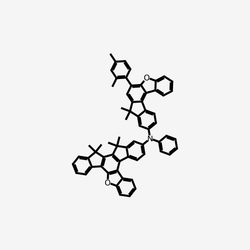 Cc1ccc(-c2cc3c(c4c2oc2ccccc24)-c2ccc(N(c4ccccc4)c4ccc5c(c4)C(C)(C)c4c6c(c7oc8ccccc8c7c4-5)-c4ccccc4C6(C)C)cc2C3(C)C)c(C)c1